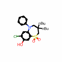 CCCCC1(CCCC)CN(c2ccccc2)c2cc(Cl)c(O)cc2S(=O)(=O)C1